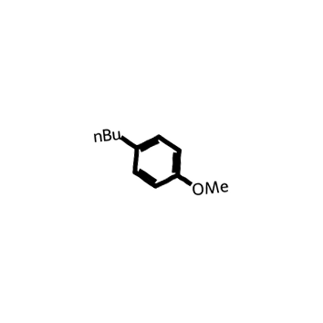 [CH2-][OH+]c1ccc(CCCC)cc1